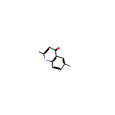 CCOC(=O)c1ccc2[nH]c(CC)cc(=O)c2c1